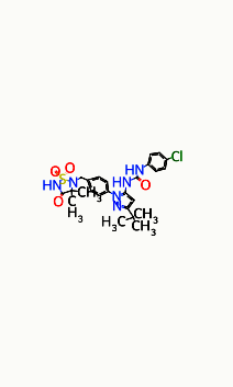 CC(C)(C)c1cc(NC(=O)Nc2ccc(Cl)cc2)n(-c2ccc(CN3C(C)(C)C(=O)NS3(=O)=O)cc2)n1